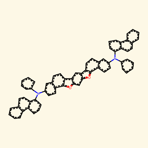 c1ccc(N(c2ccc3c(ccc4c5cc6c(cc5oc34)oc3c4ccc(N(c5ccccc5)c5cccc7c5ccc5ccccc57)cc4ccc63)c2)c2cccc3c2ccc2ccccc23)cc1